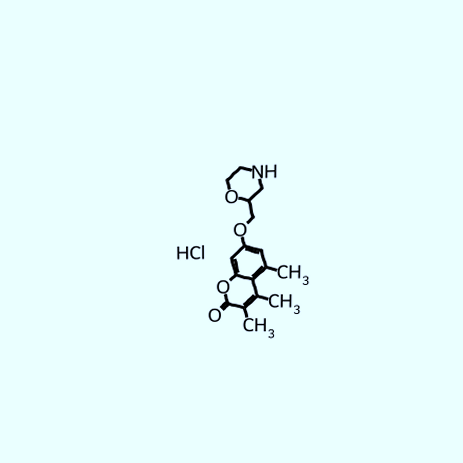 Cc1c(C)c2c(C)cc(OCC3CNCCO3)cc2oc1=O.Cl